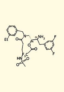 CCc1cccc(CN(C[C@@H](OC(=O)C(F)(F)F)[C@@H](N)Cc2cc(F)cc(F)c2)C(=O)CCCNS(C)(=O)=O)c1